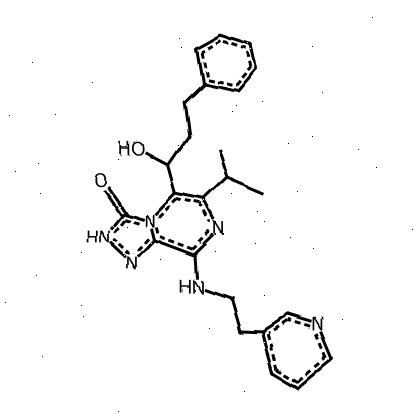 CC(C)c1nc(NCCc2cccnc2)c2n[nH]c(=O)n2c1C(O)CCc1ccccc1